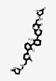 Cc1c(-c2ccn3c(=O)c(CN[C@H]4CNC(=O)C4)cnc3c2)cccc1-c1cccc(-c2ccc(CNC[C@H]3CCC(=O)N3)c(F)n2)c1Cl